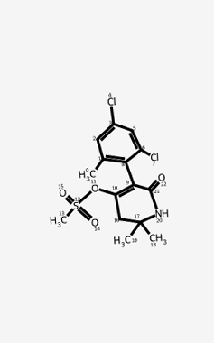 Cc1cc(Cl)cc(Cl)c1C1=C(OS(C)(=O)=O)CC(C)(C)NC1=O